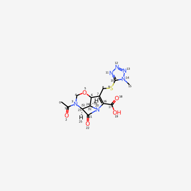 CC(=O)N1COC2C(CSc3nnnn3C)=C(C(=O)O)N3C(=O)[C@@H]1[C@@H]23